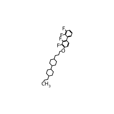 CCCC1CCC(C2CCC(CCCOc3ccc(-c4cccc(F)c4F)c(F)c3F)CC2)CC1